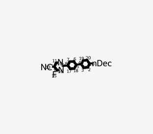 CCCCCCCCCCc1ccc(-c2ccc(-c3ncc(C#N)c(F)n3)cc2)cc1